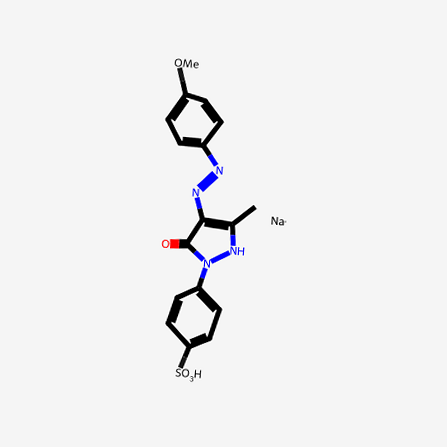 COc1ccc(N=Nc2c(C)[nH]n(-c3ccc(S(=O)(=O)O)cc3)c2=O)cc1.[Na]